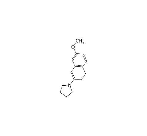 COc1ccc2c(c1)C=C(N1CCCC1)CC2